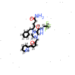 NC(=O)CCCC(Cc1ccccc1)N1CCN(Cc2ccc(-c3ccccn3)o2)CC1C(=O)NCC(F)(F)F